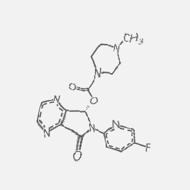 CN1CCN(C(=O)O[C@H]2c3nccnc3C(=O)N2c2ccc(F)cn2)CC1